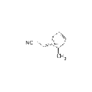 CC1C(=CCC#N)C2C=CC1C2